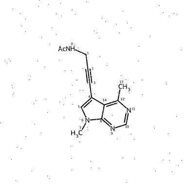 CC(=O)NCC#Cc1cn(C)c2ncnc(C)c12